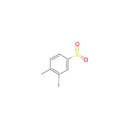 Cc1ccc([SH](=O)=O)cc1I